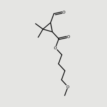 COCCCCOC(=O)C1C(C=O)C1(C)C